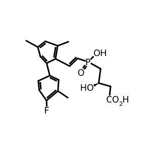 Cc1cc(C)c(/C=C/P(=O)(O)C[C@H](O)CC(=O)O)c(-c2ccc(F)c(C)c2)c1